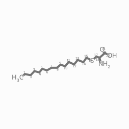 CCCCCCCCCCCCCCCCSCC(N)C(=O)O